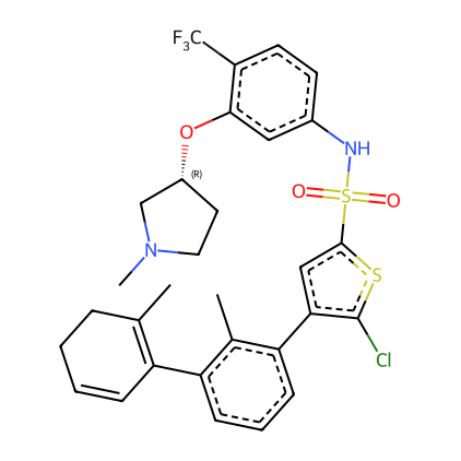 CC1=C(c2cccc(-c3cc(S(=O)(=O)Nc4ccc(C(F)(F)F)c(O[C@@H]5CCN(C)C5)c4)sc3Cl)c2C)C=CCC1